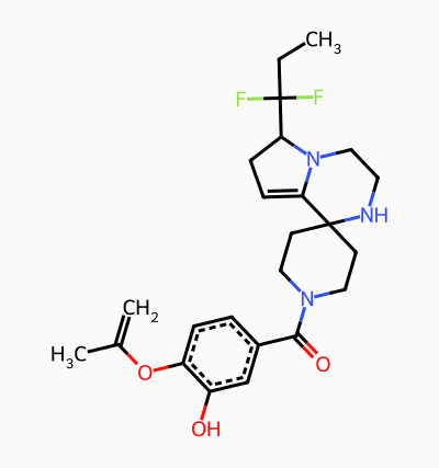 C=C(C)Oc1ccc(C(=O)N2CCC3(CC2)NCCN2C3=CCC2C(F)(F)CC)cc1O